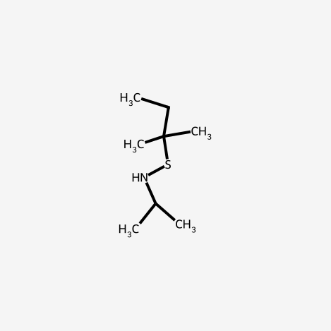 CCC(C)(C)SNC(C)C